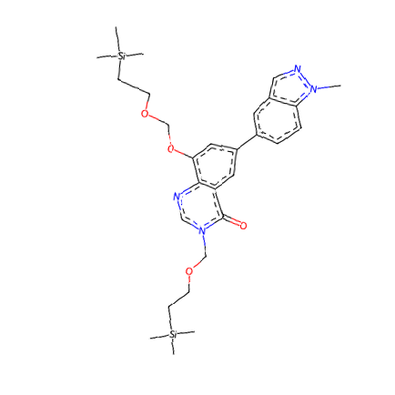 Cn1ncc2cc(-c3cc(OCOCC[Si](C)(C)C)c4ncn(COCC[Si](C)(C)C)c(=O)c4c3)ccc21